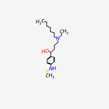 CCCCCCCN(CC)CCCC(O)c1ccc(NSC)cc1